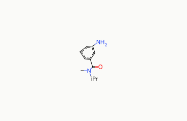 CC(C)N(C)C(=O)c1cccc(N)c1